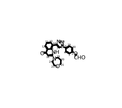 O=COc1ccc(-n2cc(-c3cccc4c(=O)cc(N5CCCOCC5)[nH]c34)nn2)cc1